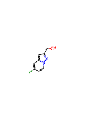 OCc1cc2cc(F)ccn2n1